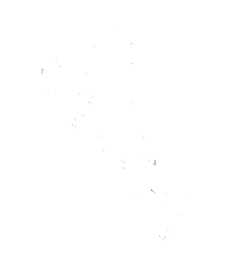 N#CC1C[C@@H]1C(=O)Nc1cc2cc(-c3cnccc3-c3cc[nH]n3)nc(N)c2cn1